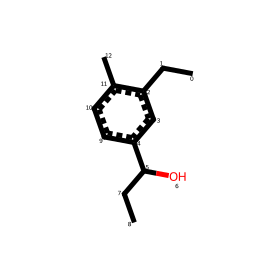 CCc1cc(C(O)CC)ccc1C